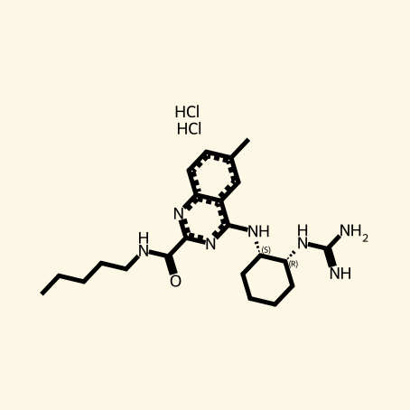 CCCCCNC(=O)c1nc(N[C@H]2CCCC[C@H]2NC(=N)N)c2cc(C)ccc2n1.Cl.Cl